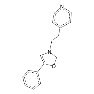 C1=C(c2ccccc2)OCN1CCc1ccncc1